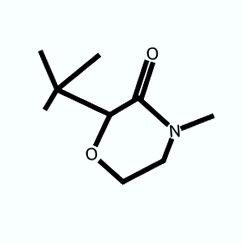 CN1CCOC(C(C)(C)C)C1=O